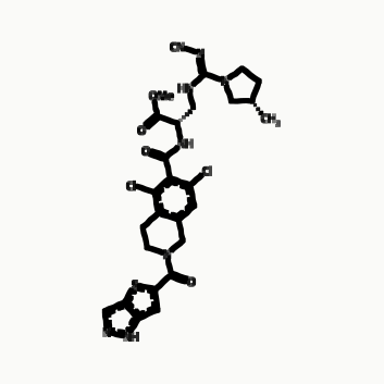 [C-]#[N+]/N=C(\NC[C@H](NC(=O)c1c(Cl)cc2c(c1Cl)CCN(C(=O)c1cc3[nH]ncc3s1)C2)C(=O)OC)N1CC[C@H](C)C1